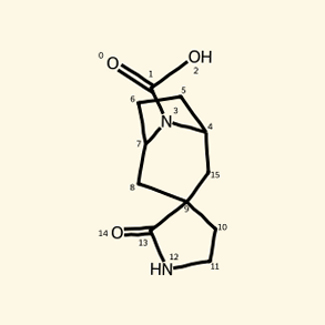 O=C(O)N1C2CCC1CC1(CCNC1=O)C2